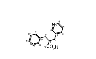 O=C(O)C(Cc1cccnc1)Cc1cccnc1